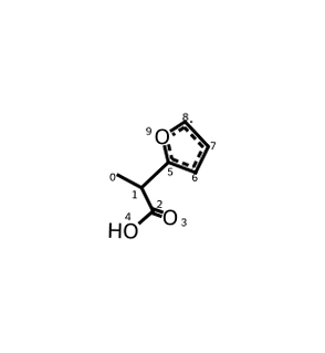 CC(C(=O)O)c1cc[c]o1